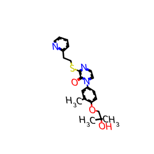 Cc1cc(-n2ccnc(SCCc3ccccn3)c2=O)ccc1OCC(C)(C)O